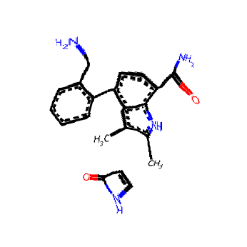 Cc1[nH]c2c(C(N)=O)ccc(-c3ccccc3CN)c2c1C.O=C1C=CN1